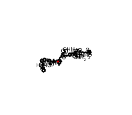 Cc1c(-c2ccc(N3CCc4cccc(C(=O)Nc5nc6ccccc6s5)c4C3)nc2C(=O)O)cnn1CC12CC3(C)CC(C)(CC(CCCN(CCS(=O)(=O)O)C(=O)OCc4ccc(NC(=O)N(C(=O)[C@@H](NC(=O)CCCCCN5C(=O)C=CC5=O)C(C)C)[C@@H](CCCN)C(N)=O)cc4)(C3)C1)C2